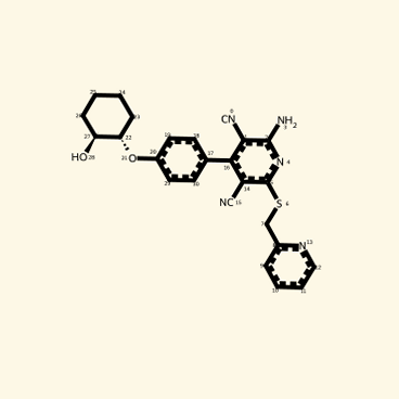 [C-]#[N+]c1c(N)nc(SCc2ccccn2)c(C#N)c1-c1ccc(O[C@H]2CCCC[C@@H]2O)cc1